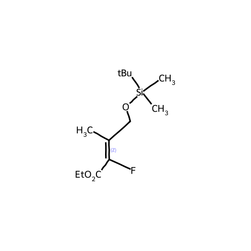 CCOC(=O)/C(F)=C(\C)CO[Si](C)(C)C(C)(C)C